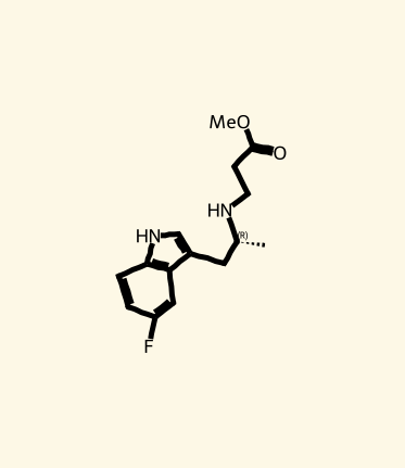 COC(=O)CCN[C@H](C)Cc1c[nH]c2ccc(F)cc12